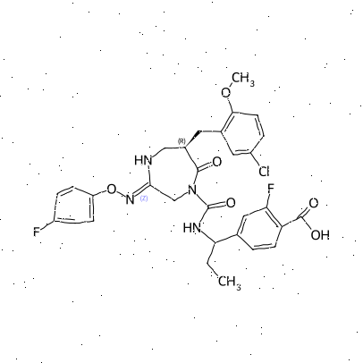 CCC(NC(=O)N1C/C(=N/Oc2ccc(F)cc2)NC[C@@H](Cc2cc(Cl)ccc2OC)C1=O)c1ccc(C(=O)O)c(F)c1